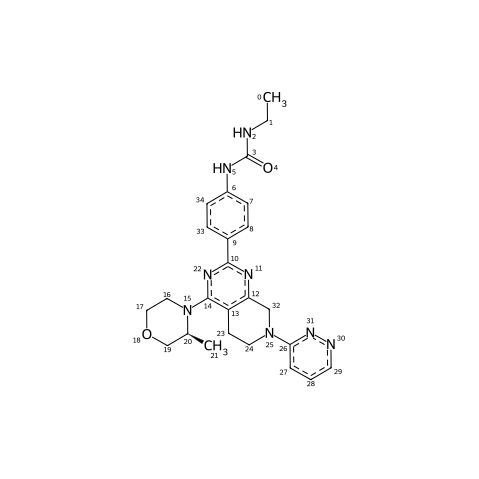 CCNC(=O)Nc1ccc(-c2nc3c(c(N4CCOC[C@@H]4C)n2)CCN(c2cccnn2)C3)cc1